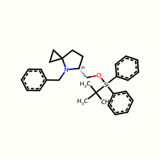 CC(C)(C)[Si](OC[C@H]1CCC2(CC2)N1Cc1ccccc1)(c1ccccc1)c1ccccc1